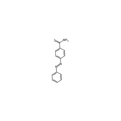 NC(=S)c1ccc(N=Nc2ccccc2)cc1